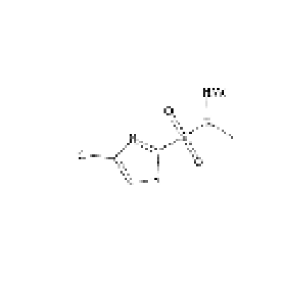 CNN(C)S(=O)(=O)c1nc(Cl)cs1